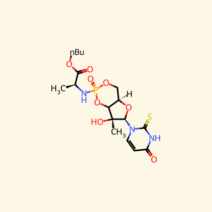 CCCCOC(=O)[C@H](C)NP1(=O)OC[C@H]2O[C@@H](n3ccc(=O)[nH]c3=S)[C@](C)(O)C2O1